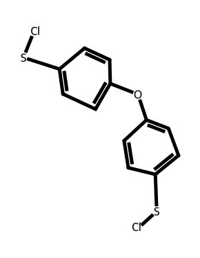 ClSc1ccc(Oc2ccc(SCl)cc2)cc1